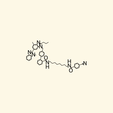 CCCc1nc2c(C)cc(-c3nc4ccccc4n3C)cc2n1Cc1ccc(-c2ccccc2C(=O)NCCCCCCCCNC(=O)c2ccc(C#N)cc2)cc1